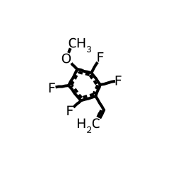 C=Cc1c(F)c(F)c(OC)c(F)c1F